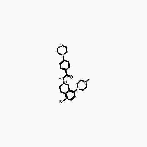 CN1CCN(c2ccc(Br)c3c2C[C@H](NC(=O)c2ccc(N4CCOCC4)cc2)CC3)CC1